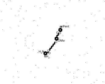 CCCCCOc1ccc(OC(=O)/C=C/c2ccc(OCCCCCCCCOC(=O)c3cc(N)cc(N)c3)c(OC)c2)cc1